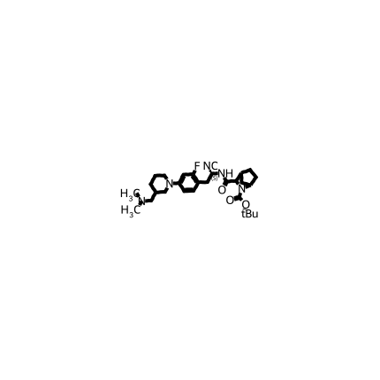 CN(C)CC1CCCN(c2ccc(C[C@@H](C#N)NC(=O)C3C4CCC(C4)N3C(=O)OC(C)(C)C)c(F)c2)C1